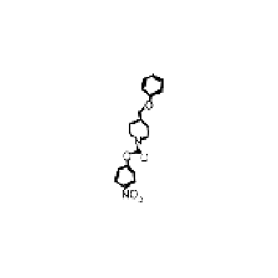 O=C(Oc1ccc([N+](=O)[O-])cc1)N1CCC(COc2ccccc2)CC1